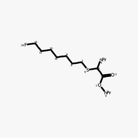 CCCOC(=O)C(CCC)SCCCCCCCF